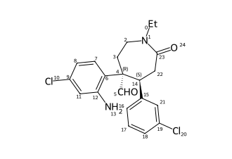 CCN1CC[C@](C=O)(c2ccc(Cl)cc2N)[C@H](c2cccc(Cl)c2)CC1=O